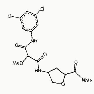 CNC(=O)C1CC(NC(=O)C(OC)C(=O)Nc2cc(Cl)cc(Cl)c2)CO1